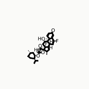 CC(C)[C@H]1CC[C@H](C)C[C@@H]1OC(=O)O[C@]1(C(=O)O)[C@H](C)C[C@H]2[C@@H]3C[C@H](F)C4=CC(=O)C=C[C@]4(C)[C@@]3(F)[C@@H](O)C[C@@]21C